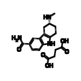 CN[C@@H]1CCc2[nH]c3ccc(C(N)=O)cc3c2C1.O=C(O)CCC(=O)O